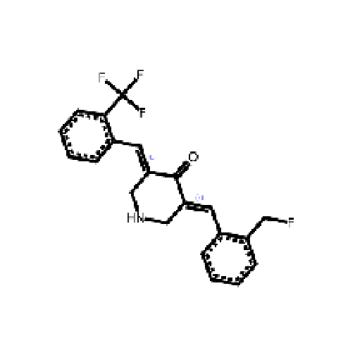 O=C1/C(=C/c2ccccc2CF)CNC/C1=C\c1ccccc1C(F)(F)F